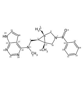 CN(C[C@H]1[C@]2(C)CN(C(=O)c3ccccc3)C[C@]12C)c1ncnc2[nH]ccc12